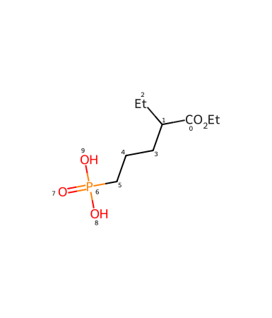 CCOC(=O)C(CC)CCCP(=O)(O)O